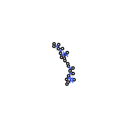 c1ccc2cc(-c3nc4ccccc4nc3-n3c4ccccc4c4ccc(-n5c6ccccc6c6c7c8ccccc8n(-c8ccc9cc(-c%10ccc%11ccc(-c%12nc%13ccccc%13nc%12-n%12c%13ccccc%13c%13ccc(-n%14c%15ccccc%15c%15c%16c%17ccccc%17n(-c%17cccc%18ccccc%17%18)c%16ccc%15%14)cc%13%12)cc%11c%10)ccc9c8)c7ccc65)cc43)ccc2c1